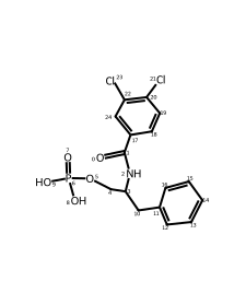 O=C(NC(COP(=O)(O)O)Cc1ccccc1)c1ccc(Cl)c(Cl)c1